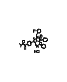 CC(C)C(=O)Nc1ccc(-c2sc3c(c2CN(C)Cc2ccccc2)c(=O)n(-c2ccccc2)c(=O)n3Cc2ccccc2F)cc1.Cl